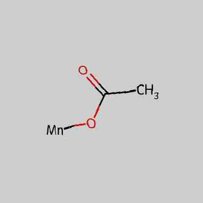 CC(=O)[O][Mn]